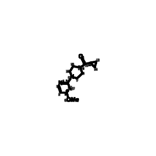 COc1ccnc(N2CCN(C(=O)C3CC3)CC2)n1